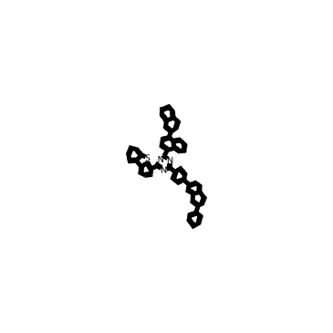 c1ccc(-c2ccc3ccc(-c4ccc(-c5nc(-c6ccc(-c7ccc8ccccc8c7)c7ccccc67)nc(-c6cccc7c6sc6ccccc67)n5)cc4)cc3c2)cc1